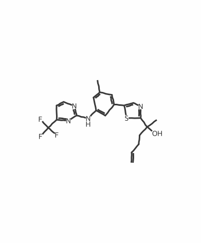 C=CCCC(C)(O)c1ncc(-c2cc(C)cc(Nc3nccc(C(F)(F)F)n3)c2)s1